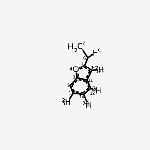 [2H]c1cc2oc(C(C)F)c([2H])c2c([2H])c1[2H]